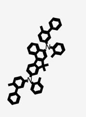 Cc1ccc(N(c2ccc3c(c2)C(C)(C)c2cc(N(c4ccc(C)c(-c5ccccc5)c4)c4ccccc4C)c4ccccc4c2-3)c2ccccc2C)cc1-c1ccccc1